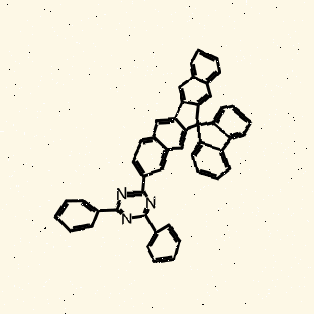 c1ccc(-c2nc(-c3ccccc3)nc(-c3ccc4cc5c(cc4c3)C3(c4ccccc4-c4ccccc43)c3cc4ccccc4cc3-5)n2)cc1